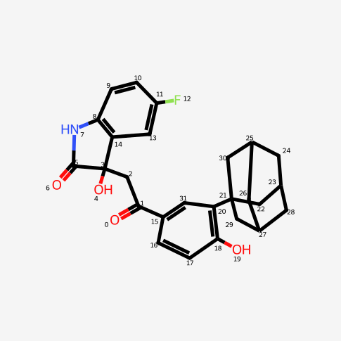 O=C(CC1(O)C(=O)Nc2ccc(F)cc21)c1ccc(O)c(C23CC4CC(CC(C4)C2)C3)c1